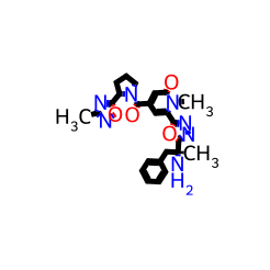 Cc1noc(C2CCCN2C(=O)c2cc(-c3nnc([C@](C)(N)Cc4ccccc4)o3)n(C)c(=O)c2)n1